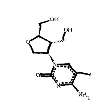 Nc1nc(=O)n([C@H]2CO[C@@H](CO)[C@@H]2CO)cc1I